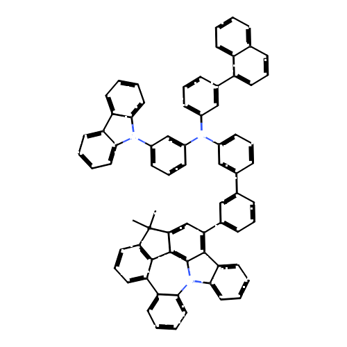 CC1(C)c2cccc3c2-c2c1cc(-c1cccc(-c4cccc(N(c5cccc(-c6cccc7ccccc67)c5)c5cccc(-n6c7ccccc7c7ccccc76)c5)c4)c1)c1c4ccccc4n(c21)-c1ccccc1-3